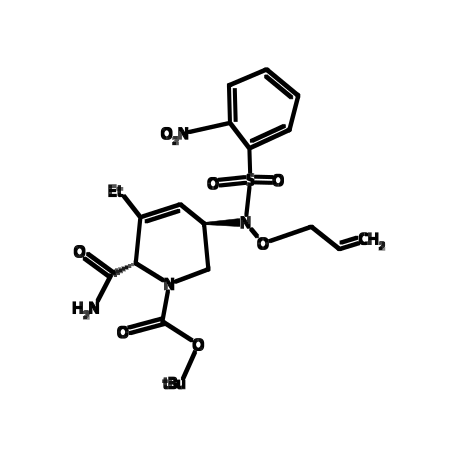 C=CCON([C@@H]1C=C(CC)[C@@H](C(N)=O)N(C(=O)OC(C)(C)C)C1)S(=O)(=O)c1ccccc1[N+](=O)[O-]